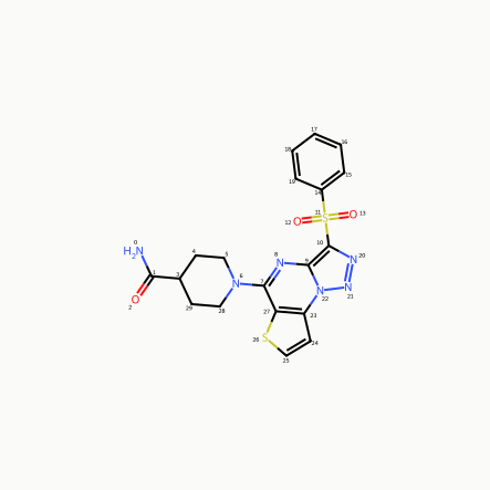 NC(=O)C1CCN(c2nc3c(S(=O)(=O)c4ccccc4)nnn3c3ccsc23)CC1